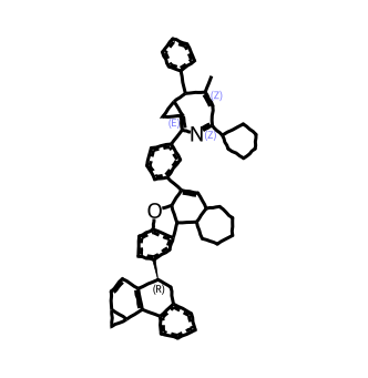 C/C1=C/C(C2CCCCC2)=N\C(c2cccc(C3=CC4CCCCCC4C4c5cc([C@H]6Cc7ccccc7C7=C6C=CC6CC76)ccc5OC34)c2)=C2/CC2C1c1ccccc1